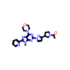 CC(=O)N1CCC(c2ccn(-c3nc(N4CCOCC4)c4nc(-c5ccccn5)n(C)c4n3)n2)C1